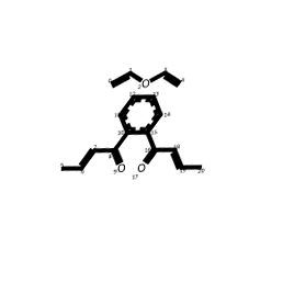 C=COC=C.CC=CC(=O)c1ccccc1C(=O)C=CC